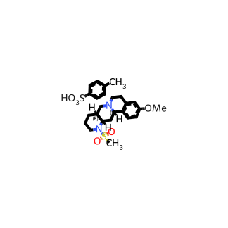 COc1ccc2c(c1)CCN1C[C@H]3CCCN(S(C)(=O)=O)[C@H]3C[C@@H]21.Cc1ccc(S(=O)(=O)O)cc1